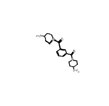 CC1CCN(C(=O)c2cccc(C(=O)N3CCC(C)CC3)c2)CC1